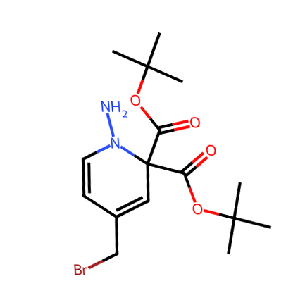 CC(C)(C)OC(=O)C1(C(=O)OC(C)(C)C)C=C(CBr)C=CN1N